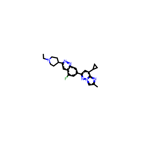 CCN1CCC(c2cc3c(F)cc(-c4cc(C5CC5)c5nc(C)cn5n4)cc3nn2)CC1